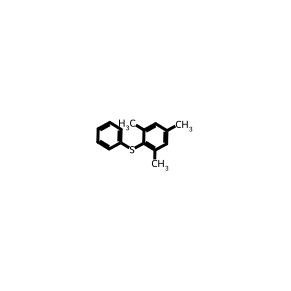 Cc1cc(C)c(Sc2ccccc2)c(C)c1